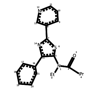 CCN(C(=O)C(C)C)c1sc(-c2cccnc2)nc1-c1ccccc1